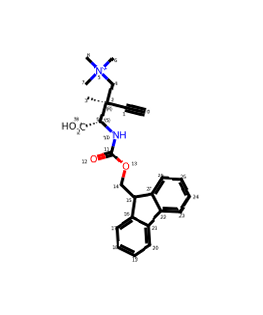 C#C[C@](C)(C[N+](C)(C)C)[C@H](NC(=O)OCC1c2ccccc2-c2ccccc21)C(=O)O